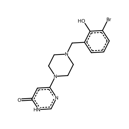 O=c1cc(N2CCN(Cc3cccc(Br)c3O)CC2)nc[nH]1